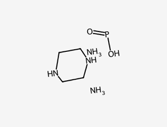 C1CNCCN1.N.N.O=PO